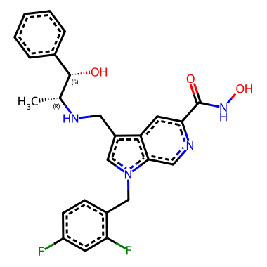 C[C@@H](NCc1cn(Cc2ccc(F)cc2F)c2cnc(C(=O)NO)cc12)[C@@H](O)c1ccccc1